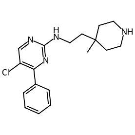 CC1(CCNc2ncc(Cl)c(-c3ccccc3)n2)CCNCC1